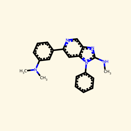 CNc1nc2cnc(-c3cccc(N(C)C)c3)cc2n1-c1ccccc1